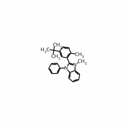 Cc1ccc(C(C)(C)C)cc1-c1n(-c2ccccc2)c2ccccc2[n+]1C